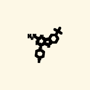 CN1CCN(c2nc(N)nc3c4c(sc23)CCC(C(C)(C)C)C4)CC1